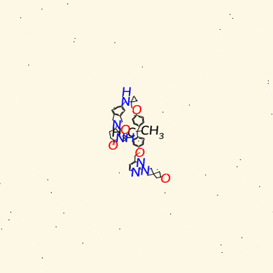 CC(C)(c1ccc(OCc2ccnc(N3CC4(CC(=O)C4)C3)n2)cc1)c1ccc(OCC2(Nc3ccc4c(c3)CN(C3CCC(=O)NC3=O)C4)CC2)cc1